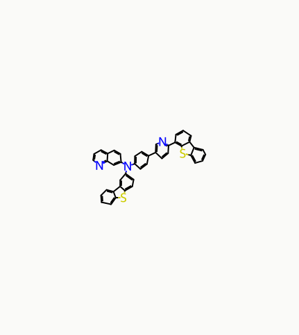 c1cnc2cc(N(c3ccc(-c4ccc(-c5cccc6c5sc5ccccc56)nc4)cc3)c3ccc4sc5ccccc5c4c3)ccc2c1